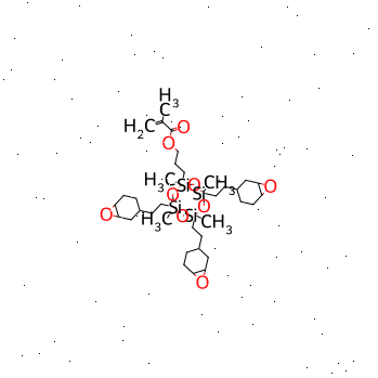 C=C(C)C(=O)OCCC[Si]1(C)O[Si](C)(CCC2CCC3OC3C2)O[Si](C)(CCC2CCC3OC3C2)O[Si](C)(CCC2CCC3OC3C2)O1